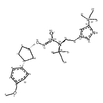 COc1ccc([C@@H]2CC[C@H](ON=[N+]([O-])N(CCn3cc([Si](C)(C)C)nn3)C(C)(C)C)C2)cc1